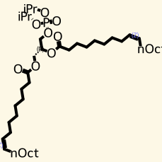 CCCCCCCC/C=C\CCCCCCCC(=O)OC[C@H](COP(=O)(OC(C)C)OC(C)C)OC(=O)CCCCCCC/C=C\CCCCCCCC